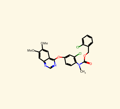 COc1cc2ncnc(Oc3ccc(N(C)C(=O)OCc4ccccc4Cl)c(Cl)c3)c2cc1OC